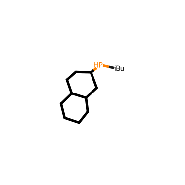 CCC(C)PC1CCC2CCCCC2C1